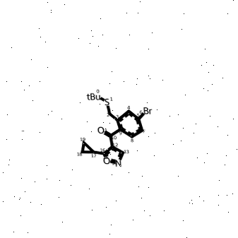 CC(C)(C)SCc1cc(Br)ccc1C(=O)c1cnoc1C1CC1